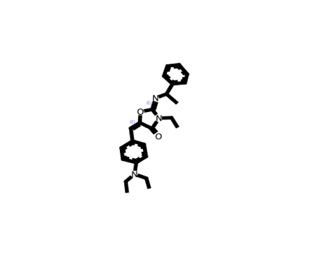 CCN1C(=O)/C(=C\c2ccc(N(CC)CC)cc2)O/C1=N/C(C)c1ccccc1